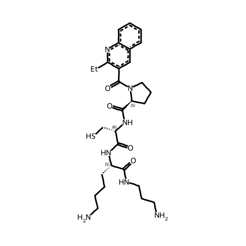 CCc1nc2ccccc2cc1C(=O)N1CCC[C@H]1C(=O)N[C@@H](CS)C(=O)N[C@@H](CCCCN)C(=O)NCCCN